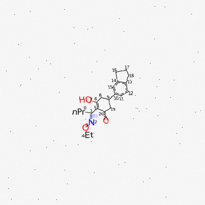 CCC/C(=N\OCC)C1=C(O)CC(c2ccc3c(c2)CCC3)CC1=O